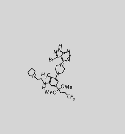 COC(CCC(F)(F)F)(OC)c1cc(NCCN2CCCC2)c(C)c(N2CCN(c3ncnc4[nH]nc(Br)c34)CC2)c1